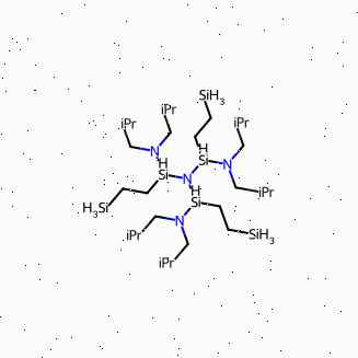 CC(C)CN(CC(C)C)[SiH](CC[SiH3])N([SiH](CC[SiH3])N(CC(C)C)CC(C)C)[SiH](CC[SiH3])N(CC(C)C)CC(C)C